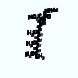 CC(=O)NSC(=O)N[C@@H](CSC/C=C(\C)CC/C=C(\C)CCC=C(C)C)C(=O)O